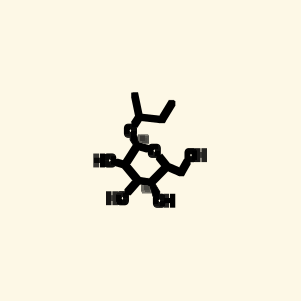 CCC(C)O[C@H]1OC(CO)[C@@H](O)C(O)C1O